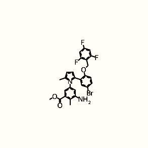 COC(=O)c1cc(-n2c(C)ccc2-c2cc(Br)ccc2OCc2c(F)cc(F)cc2F)cc(N)c1C